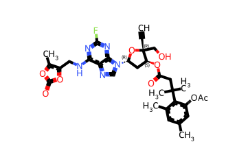 C#C[C@]1(CO)O[C@@H](n2cnc3c(NCc4oc(=O)oc4C)nc(F)nc32)C[C@@H]1OC(=O)CC(C)(C)c1c(C)cc(C)cc1OC(C)=O